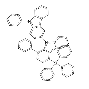 c1ccc(-c2ccc([Si](c3ccccc3)(c3ccccc3)c3ccccc3)c3c4ccccc4n(-c4ccc5c(c4)c4ccccc4n5-c4ccccc4)c23)cc1